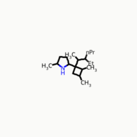 CCCC(CC)C(C)C1(C2CCC(C)N2)CC(C)C1C